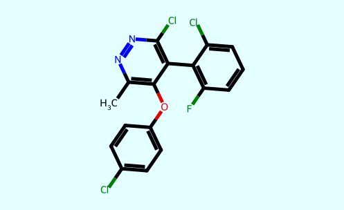 Cc1nnc(Cl)c(-c2c(F)cccc2Cl)c1Oc1ccc(Cl)cc1